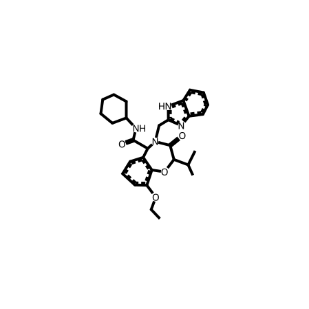 CCOc1cccc2c1OC(C(C)C)C(=O)N(Cc1nc3ccccc3[nH]1)C2C(=O)NC1CCCCC1